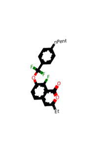 CCCCCc1ccc(C(F)(F)Oc2ccc3cc(CC)oc(=O)c3c2F)cc1